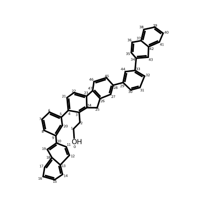 OCCc1c(-c2cccc(-c3ccc4ccccc4c3)c2)ccc2c1Cc1cc(-c3cccc(-c4ccc5ccccc5c4)c3)ccc1-2